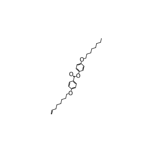 C=CCCCCCCOc1ccc(C(=O)Oc2ccc(OCCCCCCCC)cc2)cc1